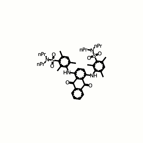 CCCN(CCC)S(=O)(=O)c1c(C)cc(C)c(Nc2ccc(Nc3c(C)cc(C)c(S(=O)(=O)N(CCC)CCC)c3C)c3c2C(=O)c2ccccc2C3=O)c1C